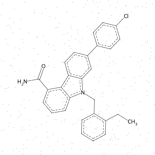 CCc1ccccc1Cn1c2cc(-c3ccc(Cl)cc3)c[c]c2c2c(C(N)=O)cccc21